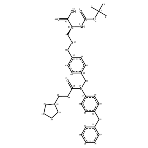 CC(C)(C)OC(=O)N[C@@H](CSCc1ccc(CN(C(=O)CCC2CCCC2)c2ccc(Cc3ccccc3)cc2)cc1)C(=O)O